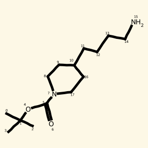 CC(C)(C)OC(=O)N1CCC(CCCCN)CC1